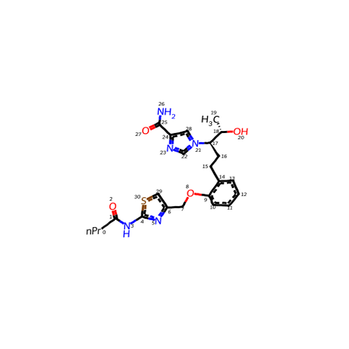 CCCC(=O)Nc1nc(COc2ccccc2CC[C@H]([C@H](C)O)n2cnc(C(N)=O)c2)cs1